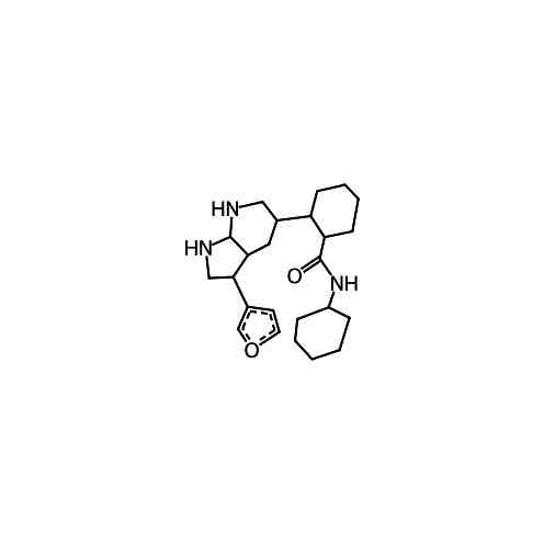 O=C(NC1CCCCC1)C1CCCCC1C1CNC2NCC(c3ccoc3)C2C1